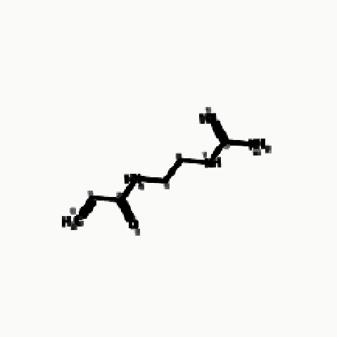 C=CC(=O)NCCNC(=N)N